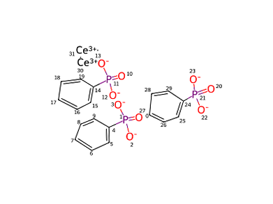 O=P([O-])([O-])c1ccccc1.O=P([O-])([O-])c1ccccc1.O=P([O-])([O-])c1ccccc1.[Ce+3].[Ce+3]